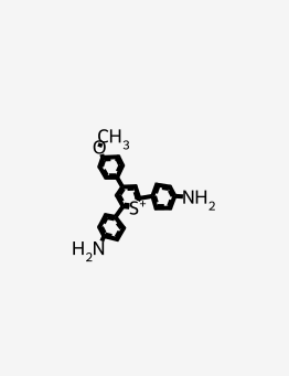 COc1ccc(-c2cc(-c3ccc(N)cc3)[s+]c(-c3ccc(N)cc3)c2)cc1